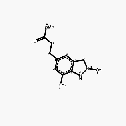 COC(=O)CCc1cc(C)c2c(c1)CN(O)N2